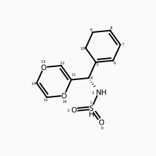 O=[SH](=O)N[C@@H](C1=CC=CCC1)C1=COC=CO1